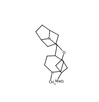 COC1CC(OC2CC3CCC(C2)N3CC2CCN(C)CC2)C1